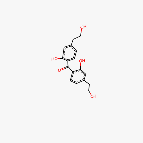 O=C(c1ccc(CCO)cc1O)c1ccc(CCO)cc1O